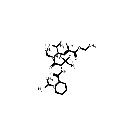 CCOC(=O)/C(C)=C/[C@H](C(C)C)N(CC)C(=O)[C@@H](NC(=O)C1CCCCN1C(C)C)C(C)(C)C